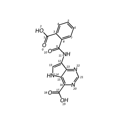 O=C(O)c1ccccc1C(=O)Nc1c[nH]c2c(C(=O)O)ncnc12